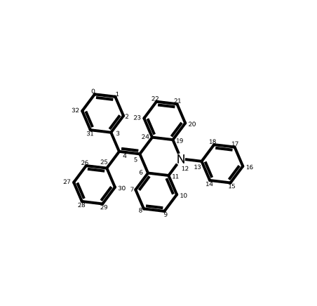 c1ccc(C(=C2c3ccccc3N(c3ccccc3)c3ccccc32)c2ccccc2)cc1